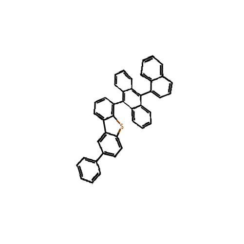 c1ccc(-c2ccc3sc4c(-c5c6ccccc6c(-c6cccc7ccccc67)c6ccccc56)cccc4c3c2)cc1